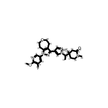 COc1ncc(-n2nc(-c3cnn(C(C)C4(S)CCN(C)C(=O)C4)c3)c3c2CCOCC3)cc1F